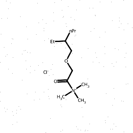 CCCC(CC)COCC(=O)[N+](C)(C)C.[Cl-]